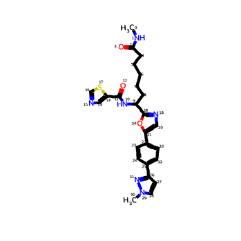 CNC(=O)CCCCCC(NC(=O)c1cncs1)c1ncc(-c2ccc(-c3ccn(C)n3)cc2)o1